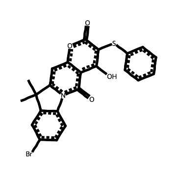 CC1(C)c2cc(Br)ccc2-n2c1cc1oc(=O)c(Sc3ccccc3)c(O)c1c2=O